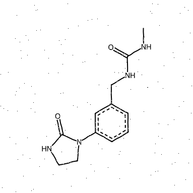 CNC(=O)NCc1cccc(N2CCNC2=O)c1